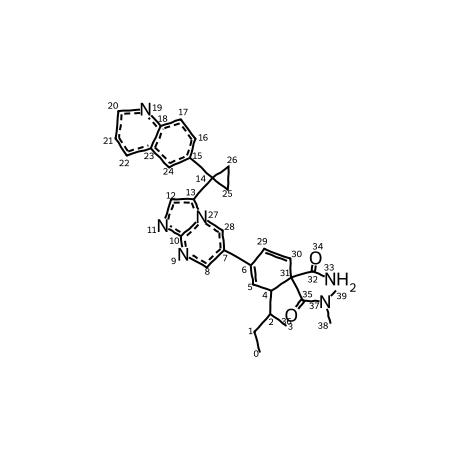 CCC(C)C1C=C(c2cnc3ncc(C4(c5ccc6ncccc6c5)CC4)n3c2)C=CC1(C(N)=O)C(=O)N(C)C